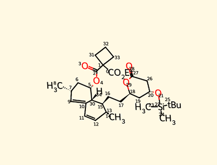 CCOC(=O)C1(C(=O)O[C@H]2C[C@@H](C)C=C3C=C[C@H](C)[C@H](CC[C@@H]4C[C@@H](O[Si](C)(C)C(C)(C)C)CC(=O)O4)[C@H]32)CCC1